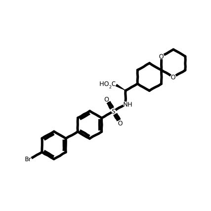 O=C(O)[C@H](NS(=O)(=O)c1ccc(-c2ccc(Br)cc2)cc1)C1CCC2(CC1)OCCCO2